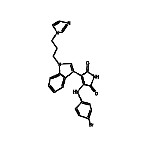 O=C1NC(=O)C(c2cn(CCCn3ccnc3)c3ccccc23)=C1Nc1ccc(Br)cc1